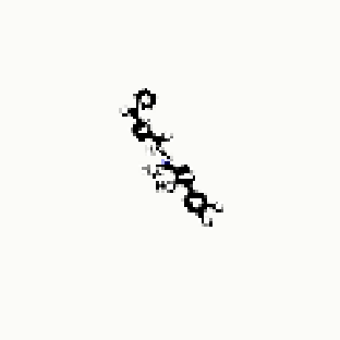 C/C(=N\NC(=O)c1ccc(C(=O)N2CCCC2)s1)c1csc(-c2ccc(Cl)c(Cl)c2)c1O